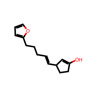 OC1=CC(/C=C/CCCc2ccco2)CC1